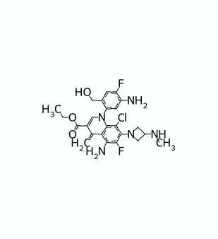 C=C1C(C(=O)OCC)=CN(c2cc(N)c(F)cc2CO)c2c(Cl)c(N3CC(NC)C3)c(F)c(N)c21